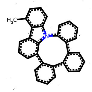 Cc1cccc2c1c1cccc3c4ccccc4c4ccccc4c4ccccc4n2c31